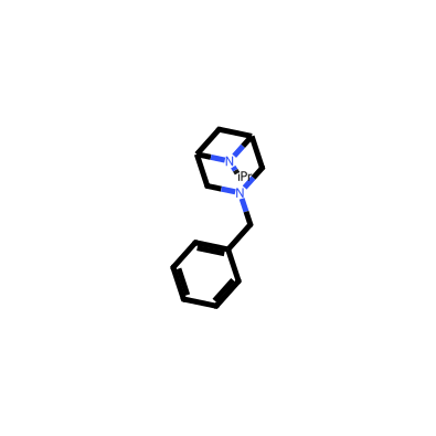 CC(C)N1C2CC1CN(Cc1ccccc1)C2